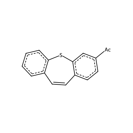 CC(=O)c1ccc2c(c1)Sc1ccccc1C=C2